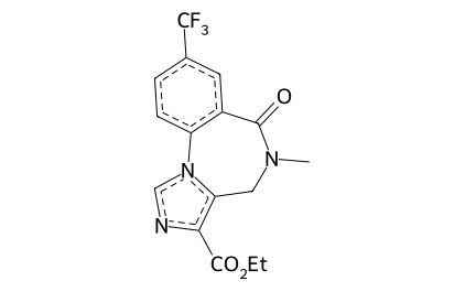 CCOC(=O)c1ncn2c1CN(C)C(=O)c1cc(C(F)(F)F)ccc1-2